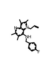 C=CCn1c(C)c(C)c2nc(C)c(C)c(NCc3ccc(F)cc3)c21